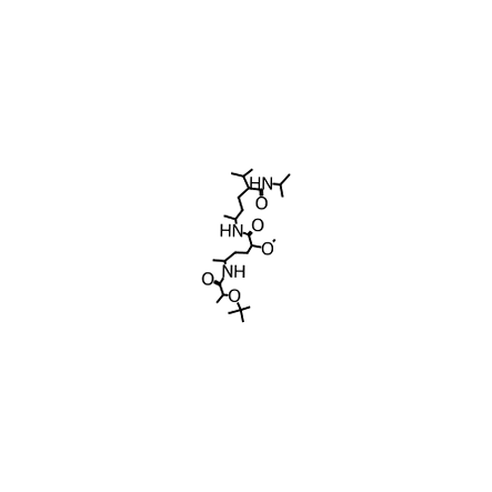 COC(CCC(C)NC(=O)C(C)OC(C)(C)C)C(=O)NC(C)CCC(C(=O)NC(C)C)C(C)C